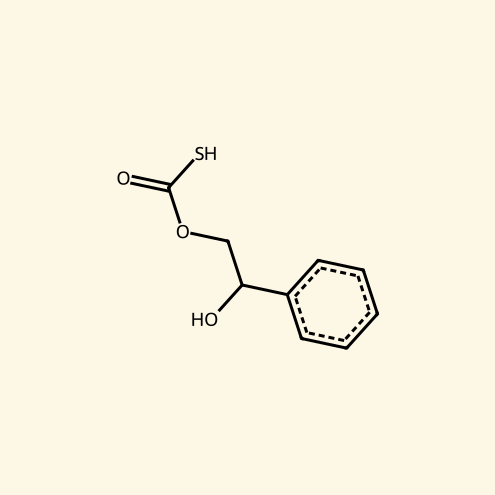 O=C(S)OCC(O)c1ccccc1